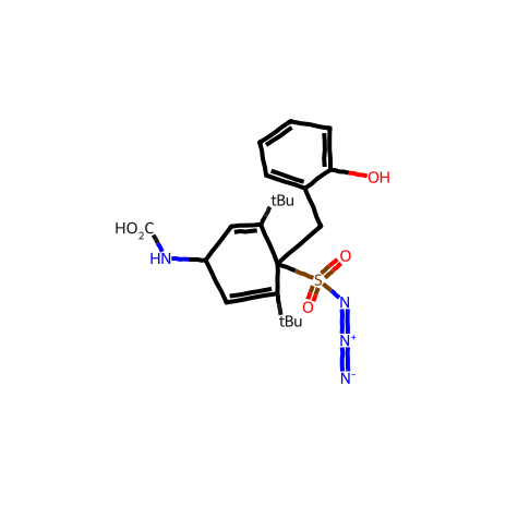 CC(C)(C)C1=CC(NC(=O)O)C=C(C(C)(C)C)C1(Cc1ccccc1O)S(=O)(=O)N=[N+]=[N-]